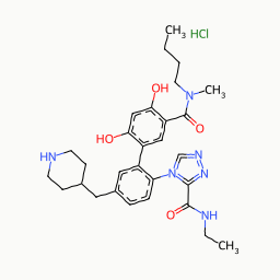 CCCCN(C)C(=O)c1cc(-c2cc(CC3CCNCC3)ccc2-n2cnnc2C(=O)NCC)c(O)cc1O.Cl